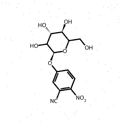 N#Cc1cc(O[C@@H]2OC(CO)[C@H](O)[C@@H](O)C2O)ccc1[N+](=O)[O-]